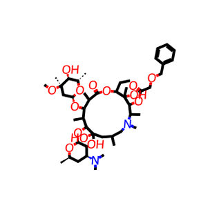 CCC1OC(=O)C(C)C(O[C@H]2C[C@@](C)(OC)[C@@H](O)[C@H](C)O2)C(C)C(O[C@@H]2O[C@H](C)C[C@H](N(C)C)[C@H]2O)C(C)(O)CC(C)CN(C)C(C)C(OC(=O)COCc2ccccc2)C1(C)O